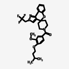 COc1cc(C(=O)N2CCC3(CC2)Oc2ccccc2-c2nn(CC(F)(F)F)cc23)ccc1OCCC(C)C